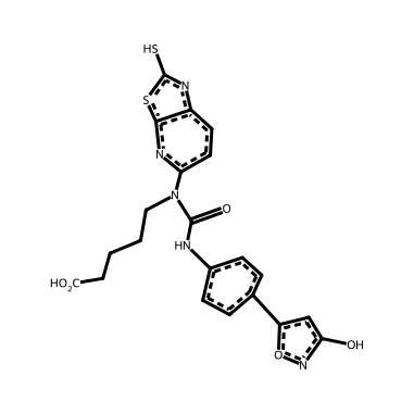 O=C(O)CCCCN(C(=O)Nc1ccc(-c2cc(O)no2)cc1)c1ccc2nc(S)sc2n1